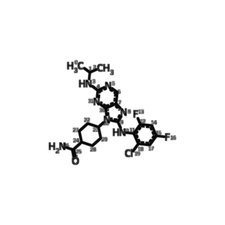 CC(C)Nc1ncc2nc(Nc3c(F)cc(F)cc3Cl)n(C3CCC(C(N)=O)CC3)c2n1